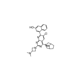 CN(C)C1CN(c2nc(N3CC4CCC(C3)N4)c3cc(Cl)c(-c4cc(O)cc5ccccc45)nc3n2)C1